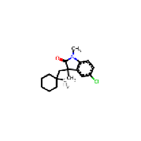 CN1C(=O)C(C)(CC2(C)CCCCC2)c2cc(Cl)ccc21